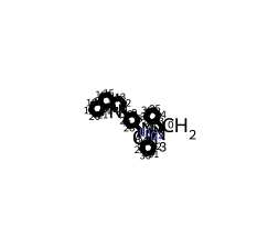 C=C(/N=C(\N=C(/C)c1ccc(-c2ccc3ccc4ccccc4c3n2)cc1)c1ccccc1)c1ccccc1